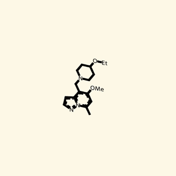 CCOC1CCN(Cc2c(OC)cc(C)n3nccc23)CC1